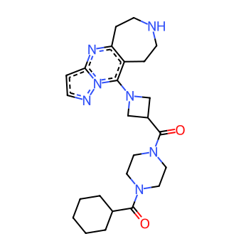 O=C(C1CCCCC1)N1CCN(C(=O)C2CN(c3c4c(nc5ccnn35)CCNCC4)C2)CC1